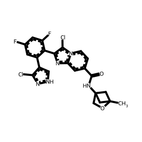 CC12CC(NC(=O)c3ccn4c(Cl)c(-c5c(F)cc(F)cc5-c5c[nH]nc5Cl)nc4c3)(CO1)C2